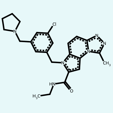 CCNC(=O)c1cc2c(ccc3nnc(C)n32)n1Cc1cc(Cl)cc(CN2CCCC2)c1